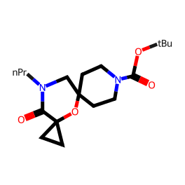 CCCN1CC2(CCN(C(=O)OC(C)(C)C)CC2)OC2(CC2)C1=O